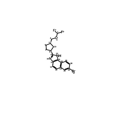 FC(F)OC[C@@H]1CC[C@H](c2nc3ccc4cc(Br)ccc4c3[nH]2)C1